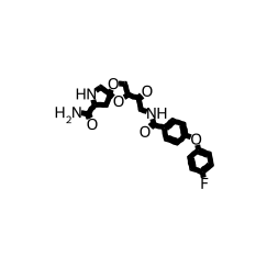 NC(=O)C1CC2(CN1)OCC(C(=O)CNC(=O)c1ccc(Oc3ccc(F)cc3)cc1)O2